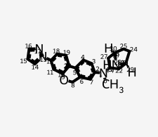 CN(c1ccc2c(c1)COc1cc(-n3cccn3)ccc1-2)[C@@H]1C[C@H]2CC[C@@H](C1)N2